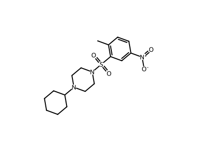 Cc1ccc([N+](=O)[O-])cc1S(=O)(=O)N1CCN(C2CCCCC2)CC1